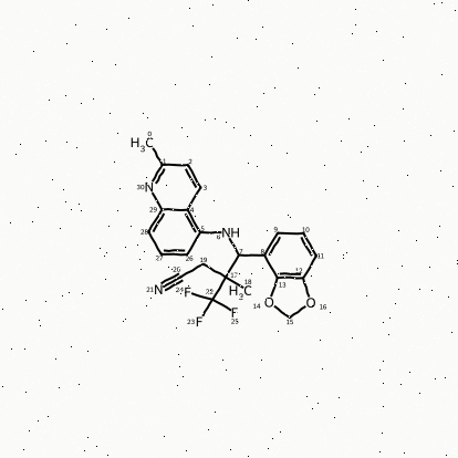 Cc1ccc2c(NC(c3cccc4c3OCO4)C(C)(CC#N)C(F)(F)F)cccc2n1